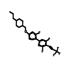 CCCC1CCC(COc2ccc(-c3cc(F)c(C#CC(F)(F)F)c(F)c3)c(F)c2)CC1